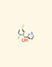 OC(c1cccnc1)c1cc(F)ccc1F